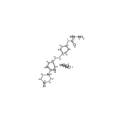 Cl.Cl.Cl.NNC(=O)Cc1ccc(CCc2cnc(N3CCNCC3)nc2)cc1